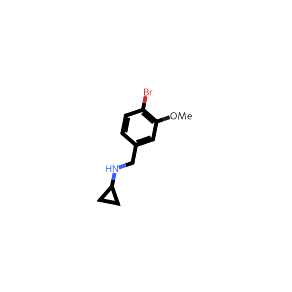 COc1cc(CNC2CC2)ccc1Br